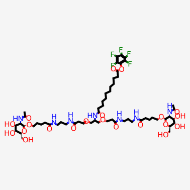 CC(=O)N[C@H]1[C@H](OCCCCC(=O)NCCCNC(=O)CCOCC(COCCC(=O)NCCCNC(=O)CCCCO[C@@H]2O[C@H](CO)[C@H](O)[C@H](O)[C@H]2NC(C)=O)NC(=O)CCCCCCCCCCC(=O)Oc2c(F)c(F)c(F)c(F)c2F)O[C@H](CO)[C@H](O)[C@@H]1O